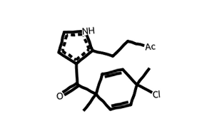 CC(=O)CCc1[nH]ccc1C(=O)C1(C)C=CC(C)(Cl)C=C1